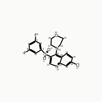 O=S(=O)(c1cc(F)cc(F)c1)c1cnc2cc(Cl)ccc2c1N1CCOCC1